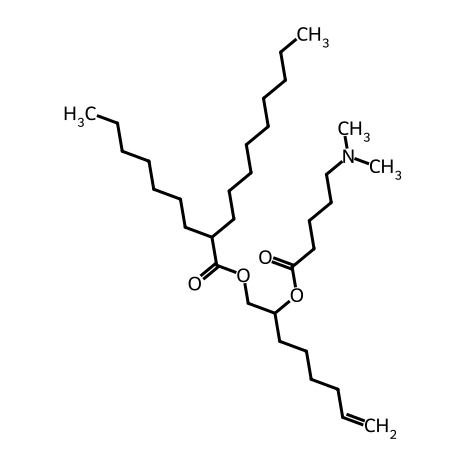 C=CCCCCC(COC(=O)C(CCCCCCC)CCCCCCCCC)OC(=O)CCCCN(C)C